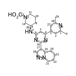 Cc1cc(-c2cc(N[C@@H]3CCCN(C(=O)O)C3)nc(-c3cnn4ccccc34)n2)cc(C)n1